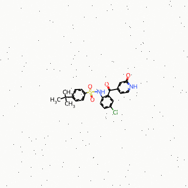 CC(C)(C)c1ccc(S(=O)(=O)Nc2ccc(Cl)cc2C(=O)c2cc[nH]c(=O)c2)cc1